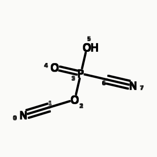 N#COP(=O)(O)C#N